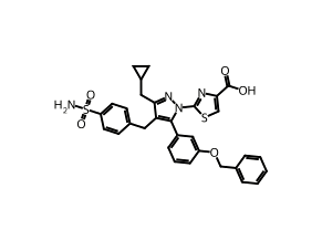 NS(=O)(=O)c1ccc(Cc2c(CC3CC3)nn(-c3nc(C(=O)O)cs3)c2-c2cccc(OCc3ccccc3)c2)cc1